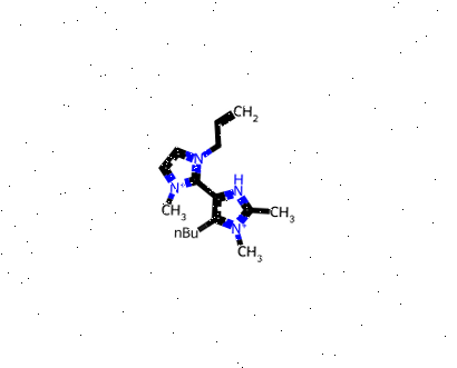 C=CCn1cc[n+](C)c1-c1[nH]c(C)[n+](C)c1CCCC